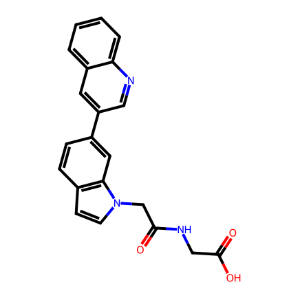 O=C(O)CNC(=O)Cn1ccc2ccc(-c3cnc4ccccc4c3)cc21